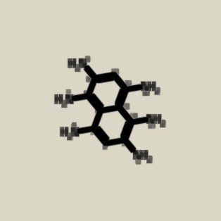 Nc1cc(N)c2c(N)c(N)cc(N)c2c1N